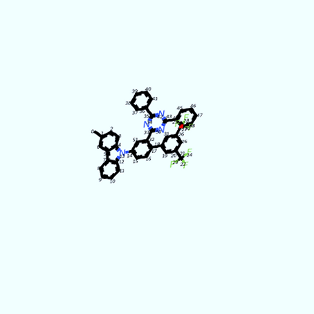 Cc1ccc2c(c1)c1ccccc1n2-c1ccc(-c2cc(C(F)(F)F)cc(C(F)(F)F)c2)c(-c2nc(-c3ccccc3)nc(-c3ccccc3)n2)c1